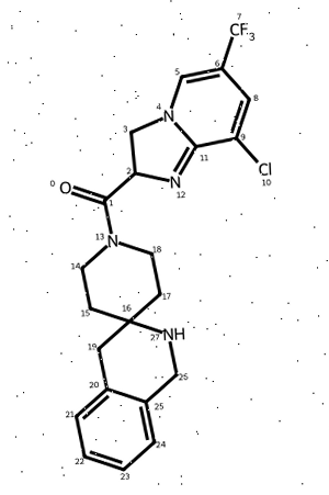 O=C(C1CN2C=C(C(F)(F)F)C=C(Cl)C2=N1)N1CCC2(CC1)Cc1ccccc1CN2